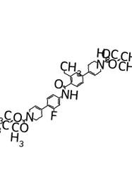 CCc1cc(C2=CCN(C(=O)OC(C)(C)C)CC2)ccc1C(=O)Nc1ccc(C2=CCN(C(=O)OC(C)(C)C)CC2)c(F)c1